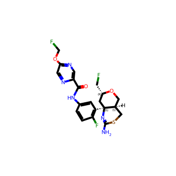 NC1=N[C@@]2(c3cc(NC(=O)c4cnc(OCF)cn4)ccc3F)C[C@H](CF)OC[C@H]2CS1